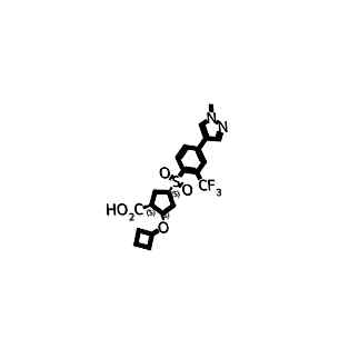 Cn1cc(-c2ccc(S(=O)(=O)[C@@H]3C[C@H](OC4CCC4)[C@@H](C(=O)O)C3)c(C(F)(F)F)c2)cn1